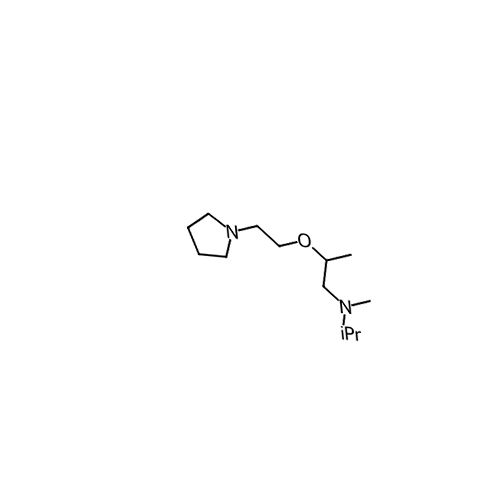 CC(CN(C)C(C)C)OCCN1CCCC1